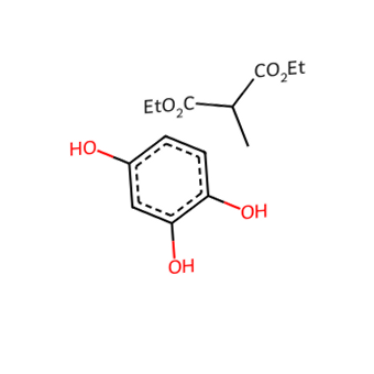 CCOC(=O)C(C)C(=O)OCC.Oc1ccc(O)c(O)c1